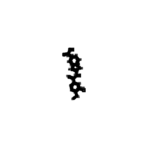 COc1ccc(C(=O)Nc2nc3ccc(C(=O)O)cc3s2)cc1Cl